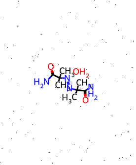 CC(C)(/N=N/C(C)(C)C(N)=O)C(N)=O.O